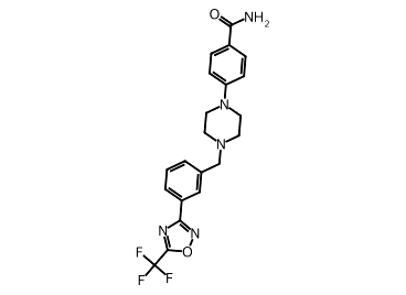 NC(=O)c1ccc(N2CCN(Cc3cccc(-c4noc(C(F)(F)F)n4)c3)CC2)cc1